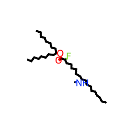 CCCCCCCCCC(CCCCCCC(F)C(=O)OC(CCCCCCCC)CCCCCCCC)NC